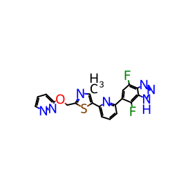 Cc1nc(COc2cccnn2)sc1-c1cccc(-c2cc(F)c3nn[nH]c3c2F)n1